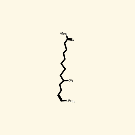 CCCCC/C=C\CCC(O)CCCCCCCC(=O)OC